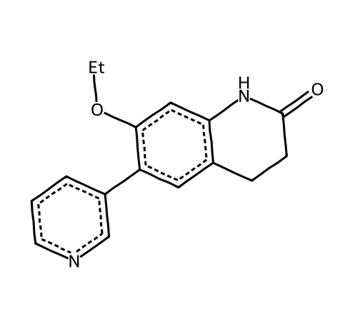 CCOc1cc2c(cc1-c1cccnc1)CCC(=O)N2